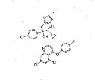 CC(C1CC1)C(O)(Cn1cncn1)c1ccc(Cl)cc1.Fc1ccc(Oc2ccnc3cc(Cl)cc(Cl)c23)cc1